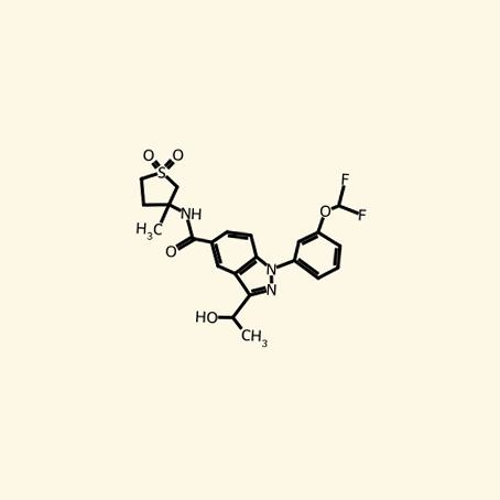 CC(O)c1nn(-c2cccc(OC(F)F)c2)c2ccc(C(=O)NC3(C)CCS(=O)(=O)C3)cc12